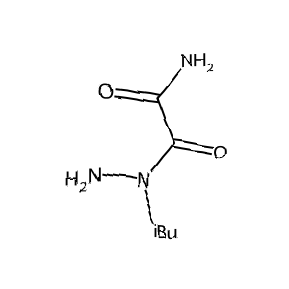 CCC(C)N(N)C(=O)C(N)=O